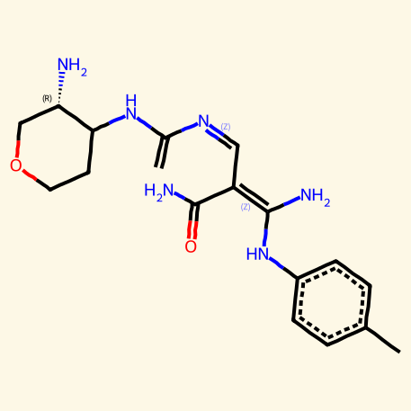 C=C(/N=C\C(C(N)=O)=C(/N)Nc1ccc(C)cc1)NC1CCOC[C@@H]1N